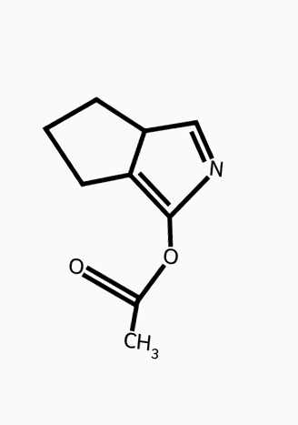 CC(=O)OC1=C2CCCC2C=N1